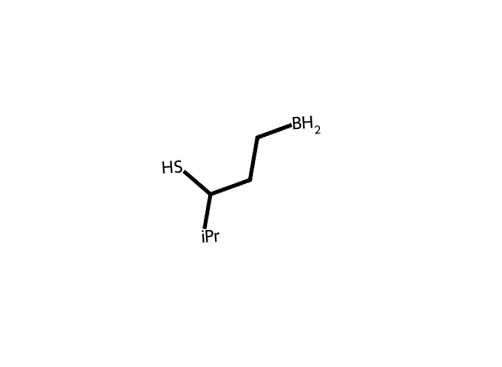 BCCC(S)C(C)C